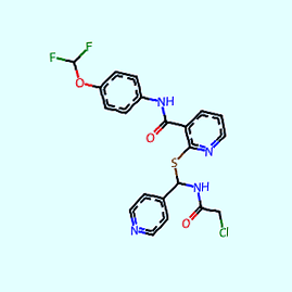 O=C(CCl)NC(Sc1ncccc1C(=O)Nc1ccc(OC(F)F)cc1)c1ccncc1